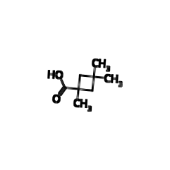 CC1(C)CC(C)(C(=O)O)C1